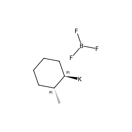 C[C@@H]1CCCC[C@H]1[K].FB(F)F